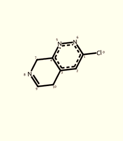 Clc1cc2c(nn1)CN=CC2